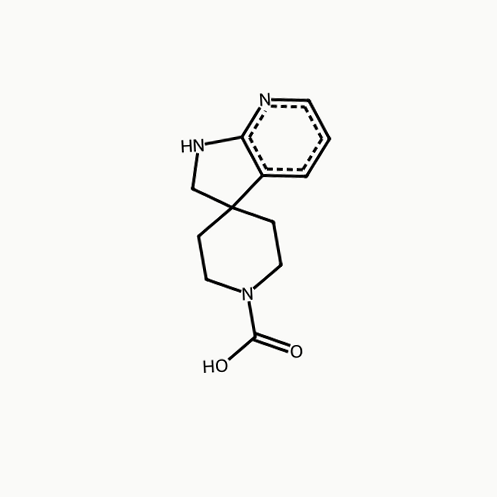 O=C(O)N1CCC2(CC1)CNc1ncccc12